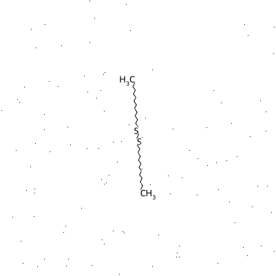 CCCCCCCCCCCCCCSCCSCCCCCCCCCCCCCC